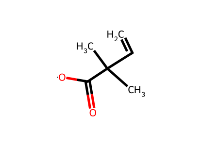 C=CC(C)(C)C([O])=O